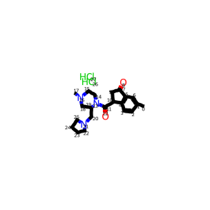 Cc1ccc2c(c1)C(=O)CC2C(=O)N1CCN(C)CC1CN1CCCC1.Cl.Cl